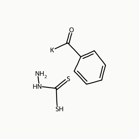 NNC(=S)S.O=[C]([K])c1ccccc1